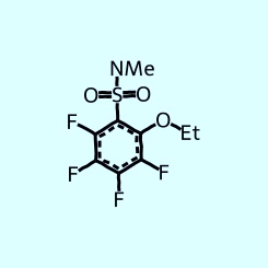 CCOc1c(F)c(F)c(F)c(F)c1S(=O)(=O)NC